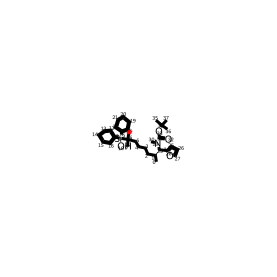 CC(CCCCC(C)(C)[Si](O)(c1ccccc1)c1ccccc1)[C@@H](c1ccco1)N(C)C(=O)OC(C)(C)C